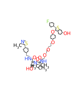 Cc1ncsc1-c1ccc(CCNC(=O)[C@@H]2C[C@H](O)CN2C(=O)[C@@H](NC(=O)COCCOCCCOc2ccc(Oc3c(-c4ccc(F)cc4)sc4cc(O)ccc34)cc2)C(C)(C)C)cc1